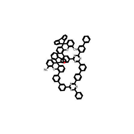 N#Cc1cccc2c1Oc1c(-c3cccc(-c4cccc(-c5nc(-c6ccccc6)nc(-c6ccc(-c7cccc(-c8nc(-c9ccc(-c%10ccccc%10)cc9)nc(-c9cccc(-c%10cccc%11c%10Oc%10c(C#N)cccc%10C%11%10c%11ccccc%11-c%11ccccc%11%10)c9)n8)c7)cc6)n5)c4)c3)cccc1C21c2ccccc2-c2ccccc21